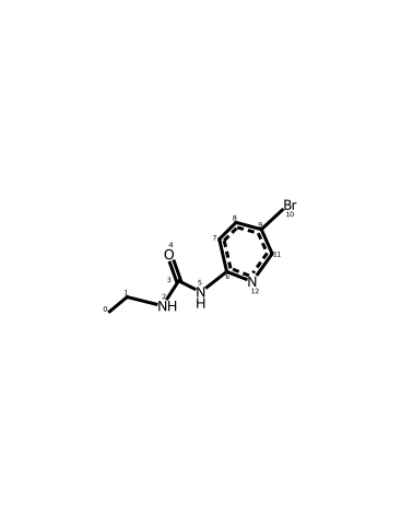 CCNC(=O)Nc1ccc(Br)cn1